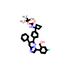 CC(C)(C)OC(=O)NC1(c2ccc(-c3nn4c(-c5ccc(F)cc5CO)cnc4cc3-c3ccccc3)cc2)CCC1